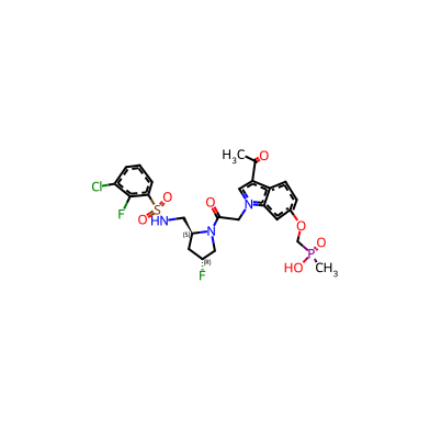 CC(=O)c1cn(CC(=O)N2C[C@H](F)C[C@H]2CNS(=O)(=O)c2cccc(Cl)c2F)c2cc(OCP(C)(=O)O)ccc12